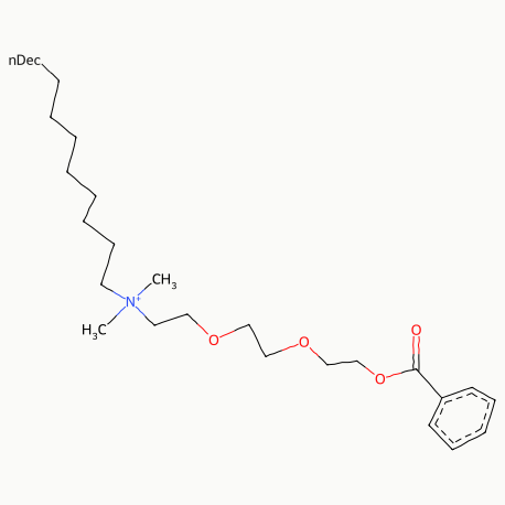 CCCCCCCCCCCCCCCCCC[N+](C)(C)CCOCCOCCOC(=O)c1ccccc1